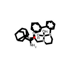 NC(=O)C12CC3CC(C1)C(NC(=O)CN1CCCN(c4ccccc4-c4ccccc4)S1(O)O)C(C3)C2